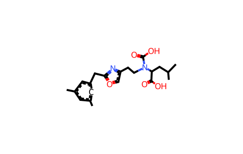 Cc1cc(C)cc(Cc2nc(CCN(C(=O)O)C(CC(C)C)C(=O)O)co2)c1